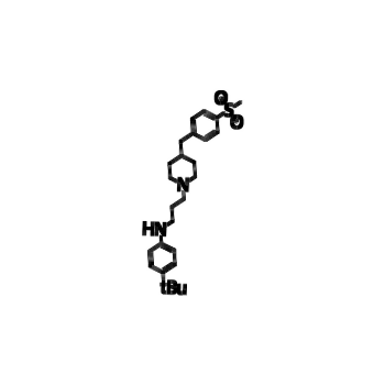 CC(C)(C)c1ccc(NCCCN2CCC(Cc3ccc(S(C)(=O)=O)cc3)CC2)cc1